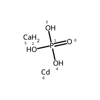 O=P(O)(O)O.[CaH2].[Cd]